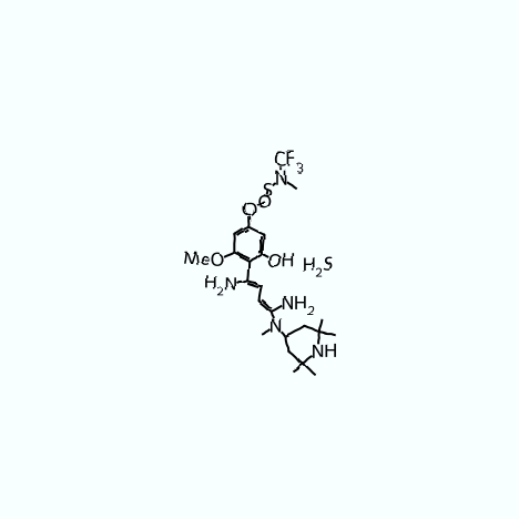 COc1cc(OOSN(C)C(F)(F)F)cc(O)c1/C(N)=C/C=C(\N)N(C)C1CC(C)(C)NC(C)(C)C1.S